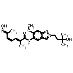 COc1cc2nn(CCC(C)(C)O)cc2cc1NC(=O)/C(C)=C/C=C\C(C)=N\O